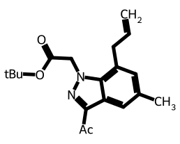 C=CCc1cc(C)cc2c(C(C)=O)nn(CC(=O)OC(C)(C)C)c12